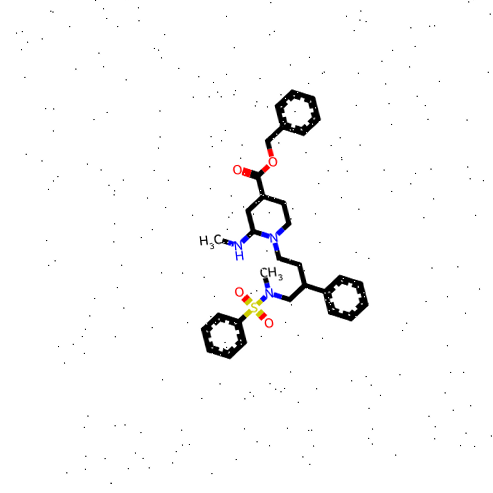 CNC1CC(C(=O)OCc2ccccc2)CCN1CCC(CN(C)S(=O)(=O)c1ccccc1)c1ccccc1